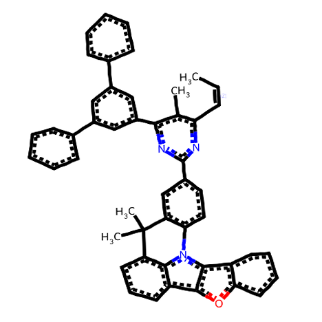 C/C=C\c1nc(-c2ccc3c(c2)C(C)(C)c2cccc4c5oc6ccccc6c5n-3c24)nc(-c2cc(-c3ccccc3)cc(-c3ccccc3)c2)c1C